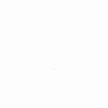 O=c1[nH][nH]c2cc(SC3CCCC(Nc4ccccn4)C3)ccc12